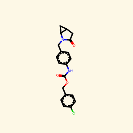 O=C(Nc1ccc(CN2C(=O)CC3CC32)cc1)OCc1ccc(Cl)cc1